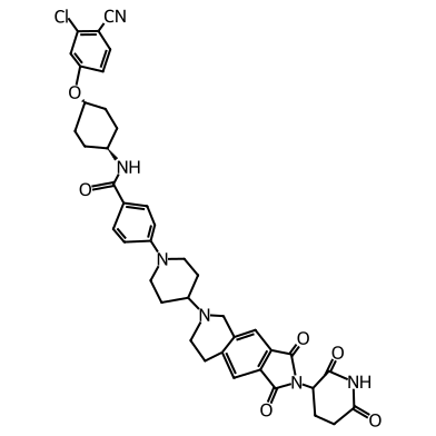 N#Cc1ccc(O[C@H]2CC[C@H](NC(=O)c3ccc(N4CCC(N5CCc6cc7c(cc6C5)C(=O)N(C5CCC(=O)NC5=O)C7=O)CC4)cc3)CC2)cc1Cl